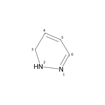 [C]1=NNCC=C1